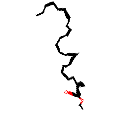 CC/C=C\C/C=C\C/C=C\C/C=C\C/C=C\C/C=C\CC(C)C(=O)OCC